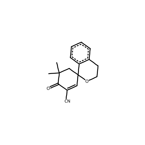 CC1(C)CC2(C=C(C#N)C1=O)OCCc1ccccc12